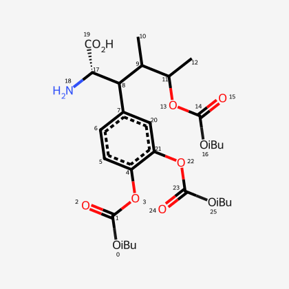 CC(C)COC(=O)Oc1ccc(C(C(C)C(C)OC(=O)OCC(C)C)[C@H](N)C(=O)O)cc1OC(=O)OCC(C)C